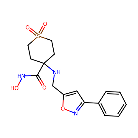 O=C(NO)C1(NCc2cc(-c3ccccc3)no2)CCS(=O)(=O)CC1